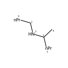 CCC[CH]NC(C)CCC